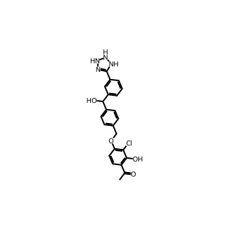 CC(=O)c1ccc(OCc2ccc(C(O)c3cccc(C4=NNNN4)c3)cc2)c(Cl)c1O